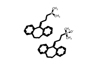 CN(C)CCC=C1c2ccccc2CCc2ccccc21.C[N+](C)([O-])CCC=C1c2ccccc2CCc2ccccc21